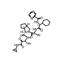 CCCC(NC(=O)[C@@H]1[C@H]2CCC[C@H]2CN1C(=O)[C@@H](NC(=O)[C@@H](NC(=O)c1cnccn1)C1CCCCC1)C(C)C)C(=O)C(=O)NC1CC1